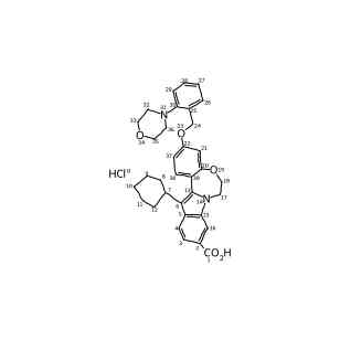 Cl.O=C(O)c1ccc2c(C3CCCCC3)c3n(c2c1)CCOc1cc(OCc2ccccc2N2CCOCC2)ccc1-3